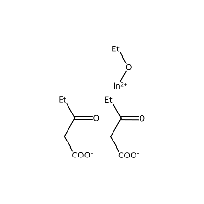 CCC(=O)CC(=O)[O-].CCC(=O)CC(=O)[O-].CC[O][In+2]